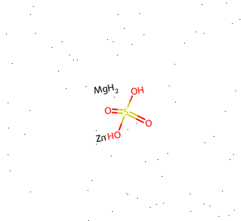 O=S(=O)(O)O.[MgH2].[Zn]